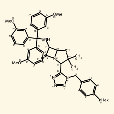 CCCCCCc1ccc(Cn2nnnc2C2N3C(=O)C(NC(c4cccc(OC)c4)(c4cccc(OC)c4)c4cccc(OC)c4)C3SC2(C)C)cc1